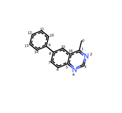 Cc1ncnc2ccc(-c3ccccc3)cc12